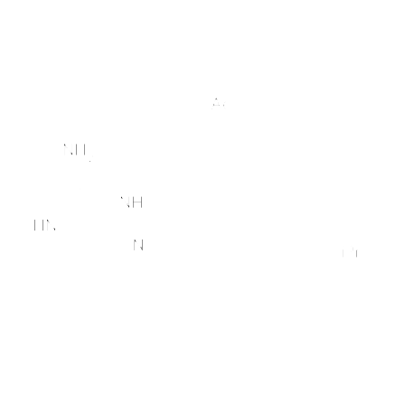 CC(=O)c1cc(CC(C)C)cc(/C(C)=N\NC(=N)N)c1